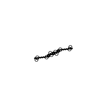 C=CC(=O)OCCCCCCCCOc1ccc(C(=O)Oc2ccc(OC(=O)c3ccc(OCCCCCCCCOC(=O)C=C)cc3)cc2)cc1